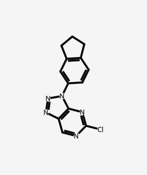 Clc1ncc2nnn(-c3ccc4c(c3)CCC4)c2n1